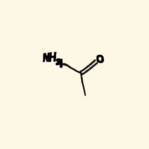 CC(=O)I.N